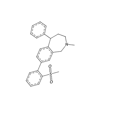 CN1CCC(c2ccccc2)c2ccc(-c3ccccc3S(C)(=O)=O)cc2C1